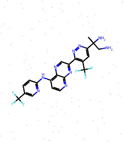 CC(N)(CN)c1cc(C(F)(F)F)c(-c2cnc3c(Nc4ccc(C(F)(F)F)cn4)ccnc3n2)nn1